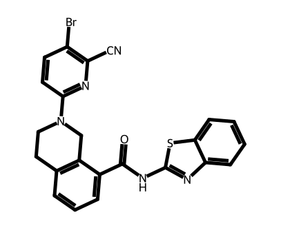 N#Cc1nc(N2CCc3cccc(C(=O)Nc4nc5ccccc5s4)c3C2)ccc1Br